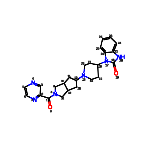 O=C(c1cnccn1)N1CC2CC(N3CCC(n4c(=O)[nH]c5ccccc54)CC3)CC2C1